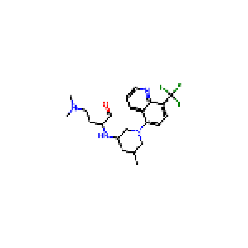 CC1CC(NC(C=O)CCN(C)C)CN(c2ccc(C(F)(F)F)c3ncccc23)C1